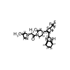 Cc1cnn(CC(=O)N2CCN(c3sc(C(F)(F)F)nc3-c3nc4ccccc4[nH]3)CC2C)c1